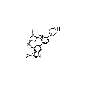 C[C@@H](Oc1cc(-c2ccc(N3CCNCC3)nc2)cc2ncn(C3CC3)c12)[C@H]1CNC(=O)C1